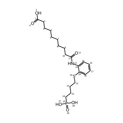 O=C(O)CCCCCCCCC(=O)Nc1ccccc1SCCCCP(=O)(O)O